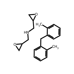 C(NCC1CO1)C1CO1.Cc1ccccc1Cc1ccccc1C